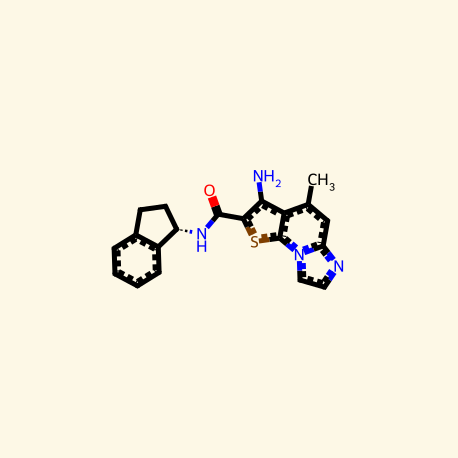 Cc1cc2nccn2c2sc(C(=O)N[C@H]3CCc4ccccc43)c(N)c12